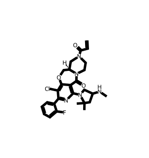 C=CC(=O)N1CCN2C(=O)c3c(N4CC(NC)CC4(C)C)nc(-c4ccccc4F)c(Cl)c3OC[C@H]2C1